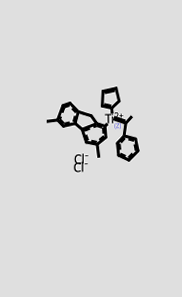 C/[C](c1ccccc1)=[Ti+2](\[C]1=CC=CC1)[c]1cc(C)cc2c1Cc1ccc(C)cc1-2.[Cl-].[Cl-]